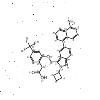 Nc1nccc2c(-c3ccc4nn(C5CCC5)c(COc5cc(C(F)(F)F)ccc5CC(=O)O)c4c3)cccc12